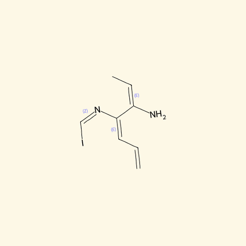 C=C/C=C(/N=C\I)C(\N)=C/C